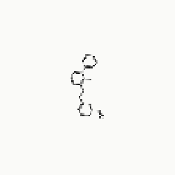 Cc1c(CCc2cccc(C=O)c2)cccc1-c1ccccc1